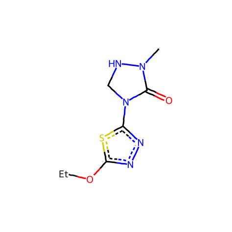 CCOc1nnc(N2CNN(C)C2=O)s1